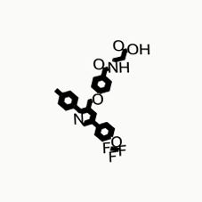 Cc1ccc(-c2ncc(-c3ccc(OC(F)(F)F)cc3)cc2COc2ccc(C(=O)NCCC(=O)O)cc2)cc1